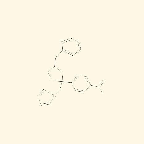 O=[N+]([O-])c1ccc(C2(Cn3ccnc3)OCC(Cc3ccccc3)O2)cc1